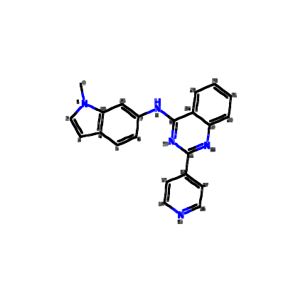 Cn1ccc2ccc(Nc3nc(-c4ccncc4)nc4ccccc34)cc21